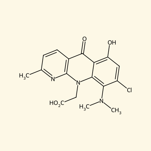 Cc1ccc2c(=O)c3c(O)cc(Cl)c(N(C)C)c3n(CC(=O)O)c2n1